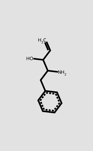 C=CC(O)C(N)Cc1ccccc1